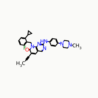 CC#Cc1cc2cnc(Nc3ccc(N4CCN(C)CC4)cc3)nc2n(Cc2c(F)cccc2C2CC2)c1=O